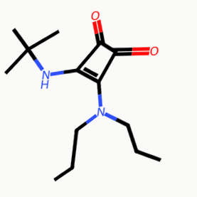 CCCN(CCC)c1c(NC(C)(C)C)c(=O)c1=O